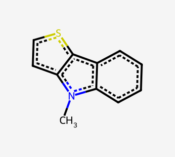 Cn1c2ccccc2c2sccc21